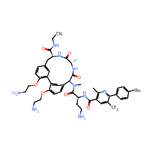 Cc1nc(-c2ccc(C(C)(C)C)cc2)c(C(F)(F)F)cc1C(=O)N[C@@H](CCN)C(=O)N(C)[C@@H]1C(=O)N[C@@H](C)C(=O)N[C@H](C(=O)NCC#N)Cc2ccc(OCCN)c(c2)-c2cc1ccc2OCCN